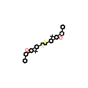 CC1(C)c2cc(-c3cc4sc(-c5ccc6c(c5)C(C)(C)c5cc7c(cc5-6)oc5ccc(-c6ccccc6)cc57)cc4s3)ccc2-c2cc3c(cc21)C1C=C(c2ccccc2)C=CC1O3